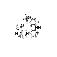 COC(=O)/C(N)=C/N(N)c1cc(Nc2ccc3c(c2)OC(F)(F)O3)ncc1C